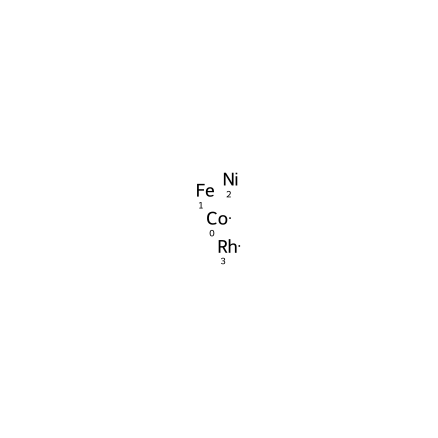 [Co].[Fe].[Ni].[Rh]